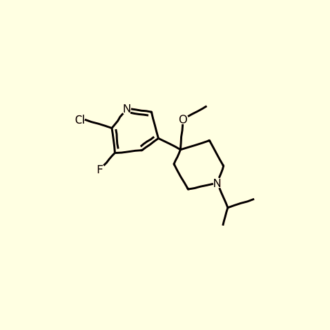 COC1(c2cnc(Cl)c(F)c2)CCN(C(C)C)CC1